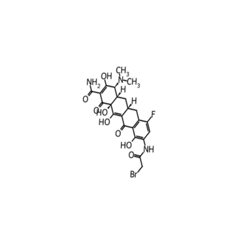 CN(C)[C@@H]1C(O)=C(C(N)=O)C(=O)[C@@]2(O)C(O)=C3C(=O)c4c(O)c(NC(=O)CBr)cc(F)c4C[C@H]3C[C@@H]12